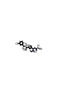 C=C(/C=C(\C(=C/C)CC)c1c[nH]c(C(=O)N[C@H](CO)c2cccc(Cl)c2)c1)NC(C)C